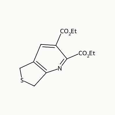 CCOC(=O)c1cc2c(nc1C(=O)OCC)CSC2